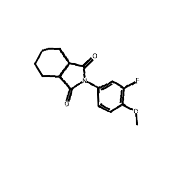 COc1ccc(N2C(=O)C3CCCCC3C2=O)cc1F